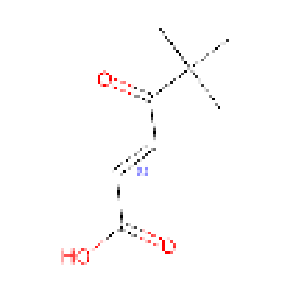 CC(C)(C)C(=O)/C=C/C(=O)O